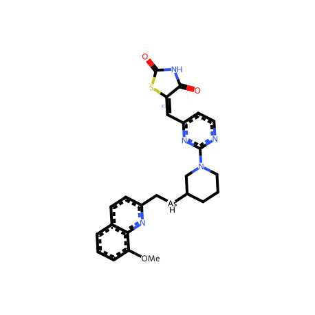 COc1cccc2ccc(C[AsH]C3CCCN(c4nccc(/C=C5/SC(=O)NC5=O)n4)C3)nc12